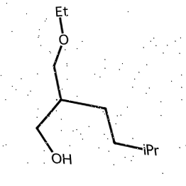 CCOC[C](CO)CCC(C)C